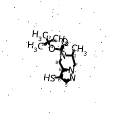 CC1Cn2ncc(S)c2CN1C(=O)OC(C)(C)C